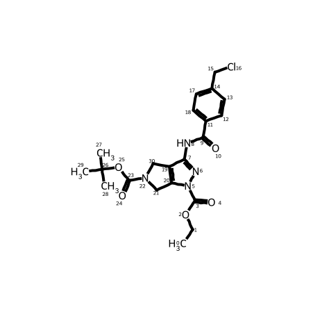 CCOC(=O)n1nc(NC(=O)c2ccc(CCl)cc2)c2c1CN(C(=O)OC(C)(C)C)C2